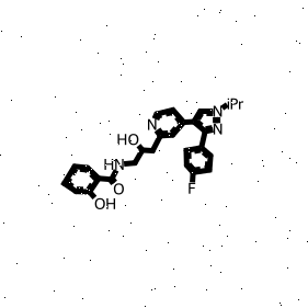 CC(C)n1cc(-c2ccnc(CC(O)CNC(=O)c3ccccc3O)c2)c(-c2ccc(F)cc2)n1